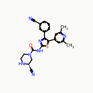 Cc1cc(-c2sc(NC(=O)N3CCN[C@H](C#N)C3)nc2-c2cccc(C#N)c2)cc(C)n1